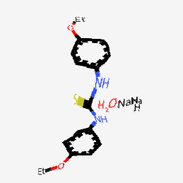 CCOc1ccc(NC(=S)Nc2ccc(OCC)cc2)cc1.O.[NaH].[NaH]